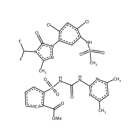 COC(=O)c1ccccc1S(=O)(=O)NC(=O)Nc1nc(C)cc(C)n1.Cc1nn(-c2cc(NS(C)(=O)=O)c(Cl)cc2Cl)c(=O)n1C(F)F